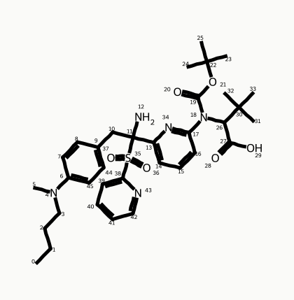 CCCCN(C)c1ccc(CC(N)(c2cccc(N(C(=O)OC(C)(C)C)C(C(=O)O)C(C)(C)C)n2)S(=O)(=O)c2ccccn2)cc1